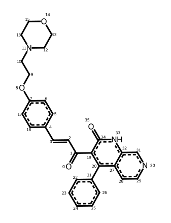 O=C(/C=C/c1ccc(OCCN2CCOCC2)cc1)c1c(-c2ccccc2)c2ccncc2[nH]c1=O